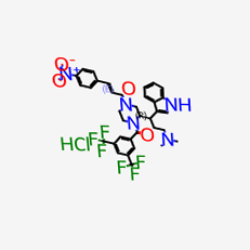 CN(C)CCC(c1c[nH]c2ccccc12)[C@@H]1CN(C(=O)/C=C/c2ccc([N+](=O)[O-])cc2)CCN1C(=O)c1cc(C(F)(F)F)cc(C(F)(F)F)c1.Cl